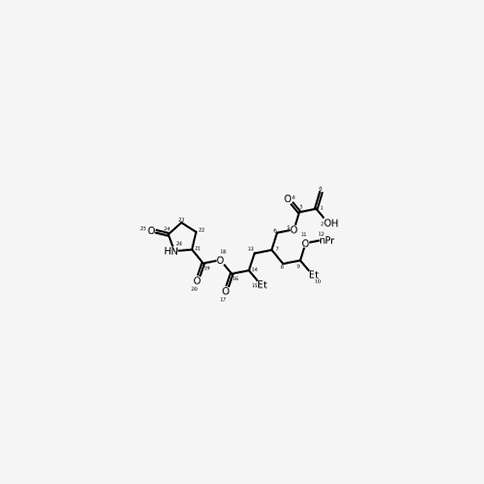 C=C(O)C(=O)OCC(CC(CC)OCCC)CC(CC)C(=O)OC(=O)C1CCC(=O)N1